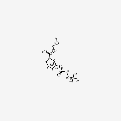 COCOC(=O)C1CC2CC(OC(=O)CCC(C)(C)C)C1C2